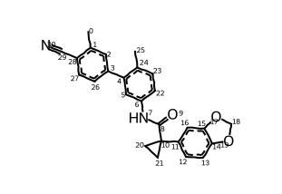 Cc1cc(-c2cc(NC(=O)C3(c4ccc5c(c4)OCO5)CC3)ccc2C)ccc1C#N